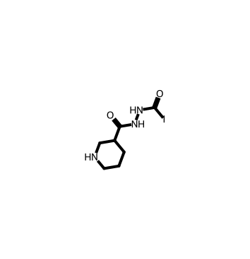 O=C(I)NNC(=O)C1CCCNC1